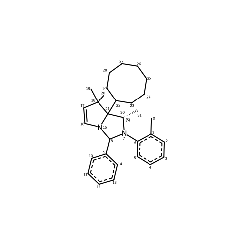 Cc1ccccc1N1C(c2ccccc2)N2C=CC(C)(C)C2(C2CCCCCCC2)[C@@H]1C